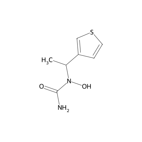 CC(c1ccsc1)N(O)C(N)=O